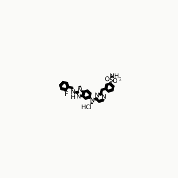 CN(c1ccc2c(c1)nc(NCc1ccccc1F)n2C)c1ccnc(Cc2cccc(S(N)(=O)=O)c2)n1.Cl